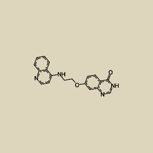 O=c1[nH]cnc2cc(OCCNc3ccnc4ccccc34)ccc12